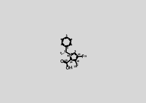 C[C@H](c1ccccc1)n1cc(F)c(F)c1C(=O)O